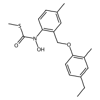 CCc1ccc(OCc2cc(C)ccc2N(O)C(=O)SC)c(C)c1